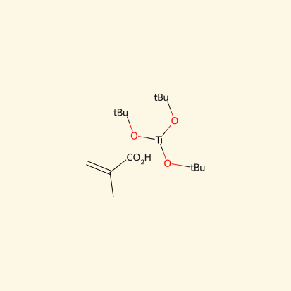 C=C(C)C(=O)O.CC(C)(C)[O][Ti]([O]C(C)(C)C)[O]C(C)(C)C